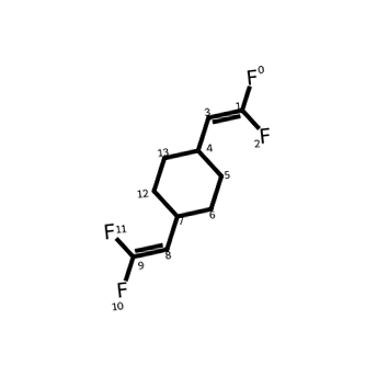 FC(F)=CC1CCC(C=C(F)F)CC1